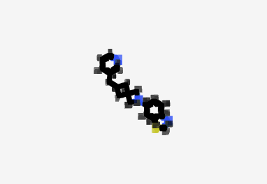 c1cncc(CC2CC3(C2)CN(c2ccc4ncsc4c2)C3)c1